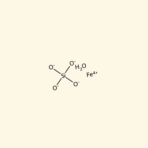 O.[Fe+4].[O-][Si]([O-])([O-])[O-]